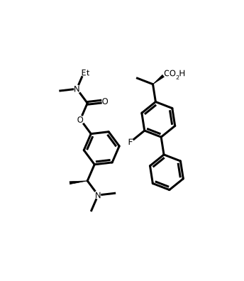 CCN(C)C(=O)Oc1cccc([C@H](C)N(C)C)c1.C[C@@H](C(=O)O)c1ccc(-c2ccccc2)c(F)c1